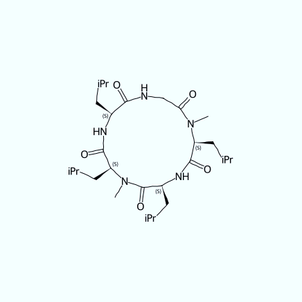 CC(C)C[C@@H]1NC(=O)[C@H](CC(C)C)N(C)C(=O)[C@H](CC(C)C)NC(=O)[C@H](CC(C)C)N(C)C(=O)CNC1=O